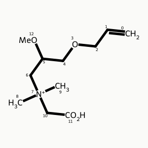 C=CCOCC(C[N+](C)(C)CC(=O)O)OC